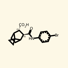 O=C(O)[C@H]1C2CCC([C@@H]1C(=O)Nc1ccc(Br)cc1)C21CC1